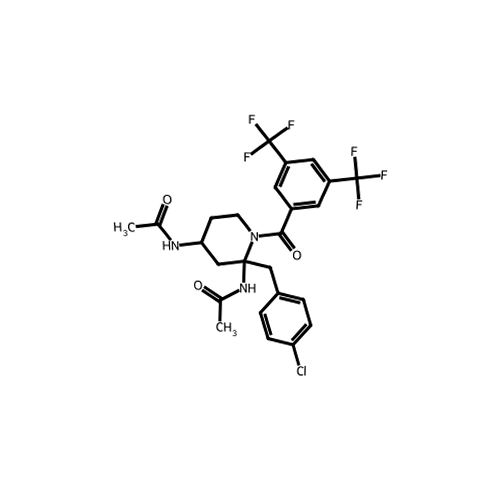 CC(=O)NC1CCN(C(=O)c2cc(C(F)(F)F)cc(C(F)(F)F)c2)C(Cc2ccc(Cl)cc2)(NC(C)=O)C1